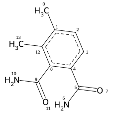 Cc1ccc(C(N)=O)c(C(N)=O)c1C